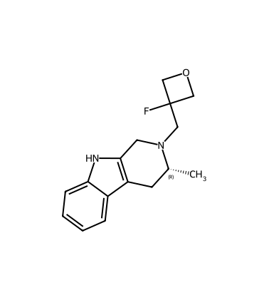 C[C@@H]1Cc2c([nH]c3ccccc23)CN1CC1(F)COC1